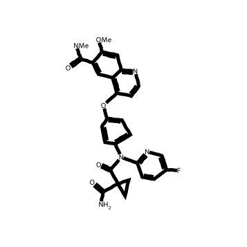 CNC(=O)c1cc2c(Oc3ccc(N(C(=O)C4(C(N)=O)CC4)c4ccc(F)cn4)cc3)ccnc2cc1OC